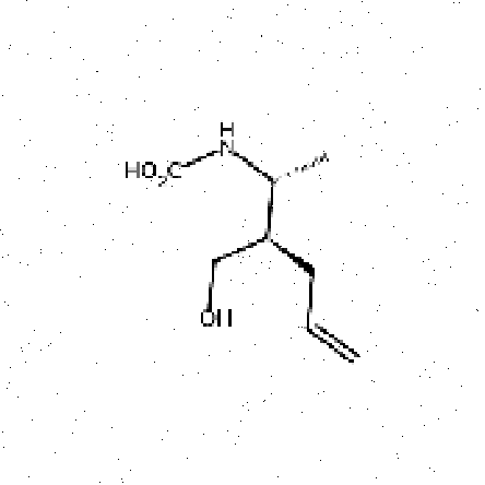 C=CC[C@@H](CO)[C@@H](C)NC(=O)O